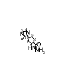 Cc1nccnc1C1CCC(C(=O)NN)CC1